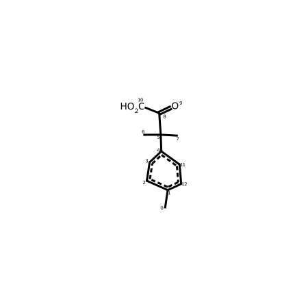 Cc1ccc(C(C)(C)C(=O)C(=O)O)cc1